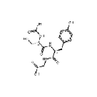 O=C(O)CNC(=O)[C@H](Cc1ccc(O)cc1)NC(=O)[C@H](CO)NC(=O)O